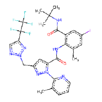 Cc1cccnc1-n1nc(Cn2ncc(C(F)(F)C(F)(F)F)n2)cc1C(=O)Nc1c(C)cc(I)cc1C(=O)NC(C)(C)C